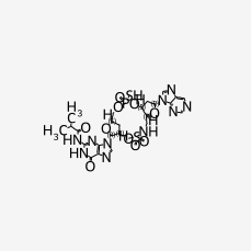 CC(C)C(=O)Nc1nc2c(ncn2[C@@H]2O[C@@H]3COP(=O)(S)O[C@H]4C[C@H](n5cnc6cncnc65)O[C@@H]4CNS(=O)(=O)O[C@@H]2C3)c(=O)[nH]1